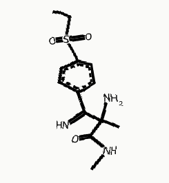 CCS(=O)(=O)c1ccc(C(=N)C(C)(N)C(=O)NC)cc1